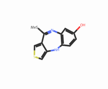 CSC1=Nc2cc(O)ccc2Nc2cscc21